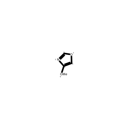 COc1cocn1